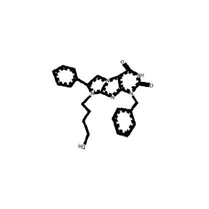 O=c1[nH]c(=O)n(Cc2ccccc2)c2nc3n(CCCCO)c(-c4ccccc4)cn3c12